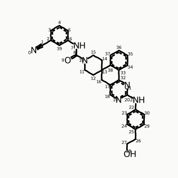 N#Cc1cccc(NC(=O)N2CCC3(CC2)Cc2cnc(Nc4ccc(CCO)cc4)nc2-c2ccccc23)c1